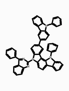 c1ccc(-c2nc(-n3c4ccc(-c5ccc6c(c5)c5ccccc5n6-c5ccccc5)cc4c4c3ccc3c5ccccc5n(-c5ccccc5)c34)nc3ccccc23)cc1